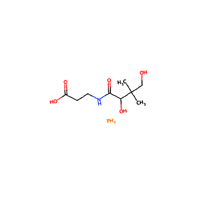 CC(C)(CO)C(O)C(=O)NCCC(=O)O.P